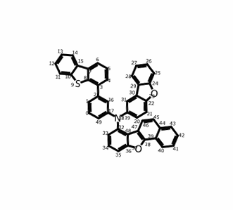 c1cc(-c2cccc3c2sc2ccccc23)cc(N(c2ccc3oc4ccccc4c3c2)c2cccc3oc4c5ccccc5ccc4c23)c1